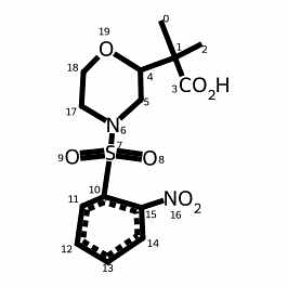 CC(C)(C(=O)O)C1CN(S(=O)(=O)c2ccccc2[N+](=O)[O-])CCO1